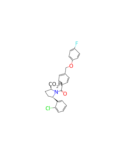 O=C(O)[C@@H]1CC[C@H](c2ccccc2Cl)N1C(=O)c1ccc(COc2ccc(F)cc2)cc1